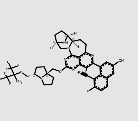 C#Cc1c(F)ccc2cc(O)cc(-c3nc4c5c(nc(OC[C@@]67CCCN6[C@H](COC(C)(C(F)(F)F)C(F)(F)F)CC7)nc5c3F)N3C[C@H]5CC[C@H](N5)[C@H]3CC4)c12